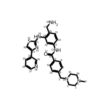 CN1CCN(Cc2ccc(C(=O)Nc3ccc(CN)c(Nc4nc(-c5cccnc5)cs4)c3)cc2)CC1